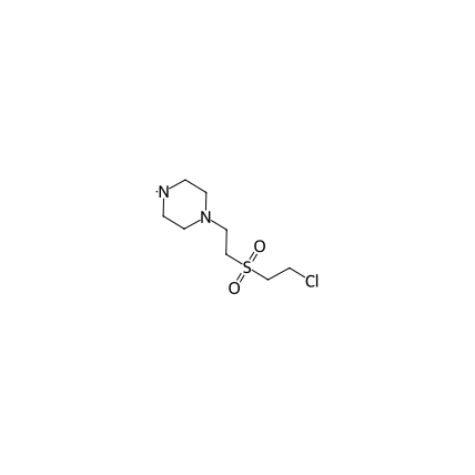 O=S(=O)(CCCl)CCN1CC[N]CC1